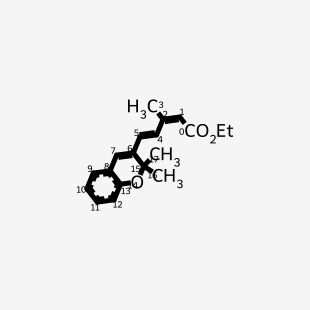 CCOC(=O)/C=C(C)\C=C\C1=Cc2ccccc2OC1(C)C